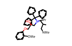 CNCC(C)C(C(C)C)N(CC(O)COc1ccccc1OC)C(c1ccccc1)(c1ccccc1)c1ccccc1